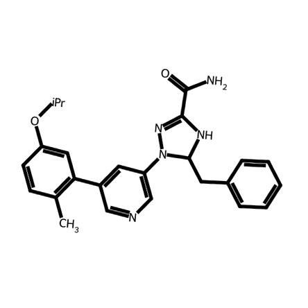 Cc1ccc(OC(C)C)cc1-c1cncc(N2N=C(C(N)=O)NC2Cc2ccccc2)c1